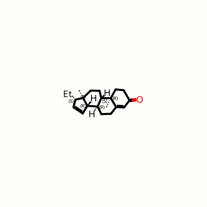 CC[C@H]1C=C[C@H]2[C@@H]3CCC4=CC(=O)CC[C@]4(C)[C@H]3CC[C@]12C